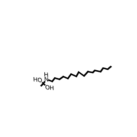 CCCCCCCCCCCCCCCCNC(C)(O)O